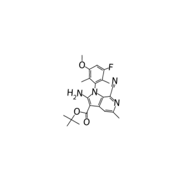 COc1cc(F)c(C)c(-n2c(N)c(C(=O)OC(C)(C)C)c3cc(C)nc(C#N)c32)c1C